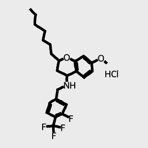 CCCCCCCC1CC(NCc2ccc(C(F)(F)F)c(F)c2)c2ccc(OC)cc2O1.Cl